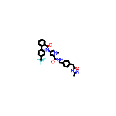 Cc1noc(Cc2ccc(CNC(=O)c3cc(NC(=O)c4ccccc4-c4ccc(C(F)(F)F)cc4)cn3C)cc2)n1